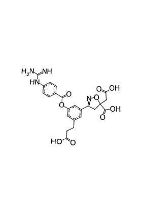 N=C(N)Nc1ccc(C(=O)Oc2cc(CCC(=O)O)cc(C3=NOC(CC(=O)O)(C(=O)O)C3)c2)cc1